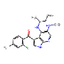 COCC(C)Nc1c(NC=O)cnc2[nH]cc(C(=O)c3ccc(C)cc3Cl)c12